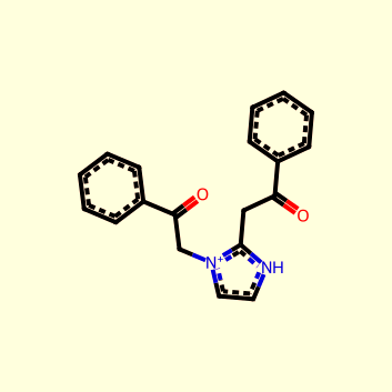 O=C(Cc1[nH]cc[n+]1CC(=O)c1ccccc1)c1ccccc1